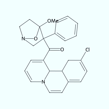 COC12CCN(CC1(C(=O)C1=CC=CN3C=CC4=CC=C(Cl)CC4C13)c1ccccc1)O2